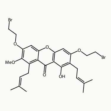 COc1c(OCCBr)cc2oc3cc(OCCBr)c(CC=C(C)C)c(O)c3c(=O)c2c1CC=C(C)C